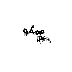 CC(C)(C)c1ccnc(-n2c3ccccc3c3ccc(Oc4cc(C#N)cc(-n5cnc6ccccc65)c4)cc32)c1